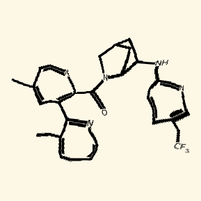 Cc1cnc(C(=O)N2CC3CC(Nc4ccc(C(F)(F)F)cn4)C2C3)c(-c2ncccc2C)c1